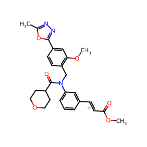 COC(=O)/C=C/c1cccc(N(Cc2ccc(-c3nnc(C)o3)cc2OC)C(=O)C2CCOCC2)c1